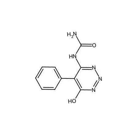 NC(=O)Nc1nnnc(O)c1-c1ccccc1